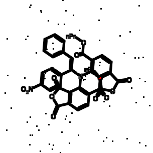 CCCOC(=O)c1ccc2c(c1N(C(=Cc1ccccc1)c1ccc([N+](=O)[O-])cc1)c1c(C(=O)OCCC)ccc3c1C(=O)OC3=O)C(=O)OC2=O